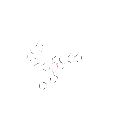 c1ccc(-c2cccc(N(c3ccc(-c4ccc5ccccc5c4)cc3)c3ccc(-c4ccc5ccc6oc7ccccc7c6c5c4)cc3-c3ccccc3)c2)cc1